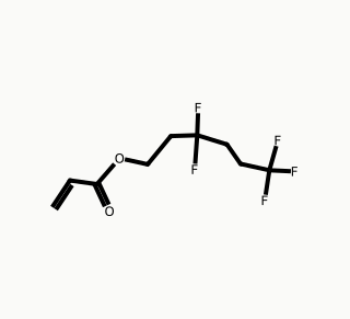 C=CC(=O)OCCC(F)(F)CCC(F)(F)F